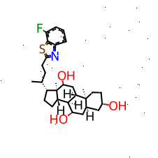 CC(CCc1nc2cccc(F)c2s1)[C@H]1CC[C@H]2[C@@H]3[C@H](O)C[C@@H]4C[C@H](O)CC[C@]4(C)[C@H]3C[C@H](O)[C@]12C